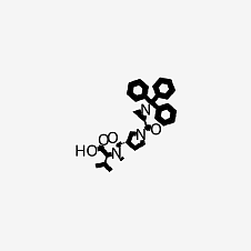 CC(C)[C@@H](C(=O)O)N(C)C(=O)[C@H]1CCN(C(=O)[C@H]2CN2C(c2ccccc2)(c2ccccc2)c2ccccc2)C1